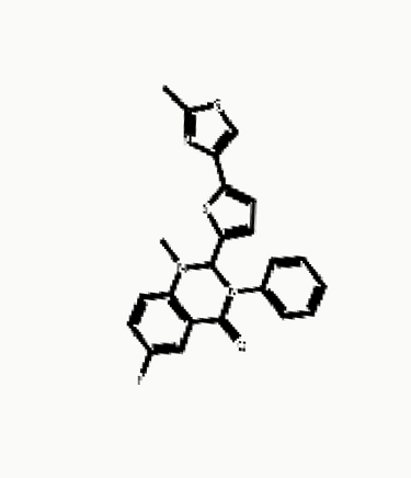 Cc1nc(-c2ccc(C3N(C)c4ccc(F)cc4C(=O)N3c3ccccc3)s2)cs1